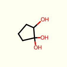 OC1CCCC1(O)O